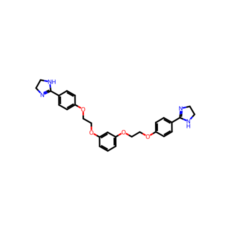 c1cc(OCCOc2ccc(C3=NCCN3)cc2)cc(OCCOc2ccc(C3=NCCN3)cc2)c1